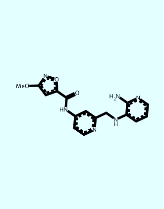 COc1cc(C(=O)Nc2ccnc(CNc3cccnc3N)c2)on1